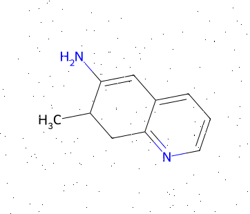 CC1Cc2ncccc2C=C1N